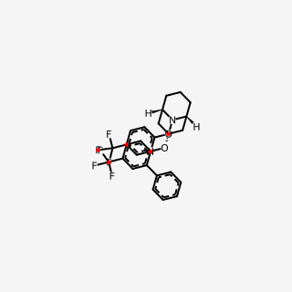 FC(F)(F)c1ccc(ON2[C@@H]3CCC[C@H]2C[C@@H](Oc2ccc(C(F)(F)F)cc2-c2ccccc2)C3)nc1